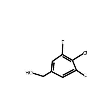 OCc1cc(F)c(Cl)c(F)c1